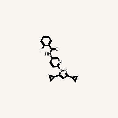 O=C(Nc1ccc(-n2nc(C3CC3)cc2C2CC2)nc1)c1ccccc1F